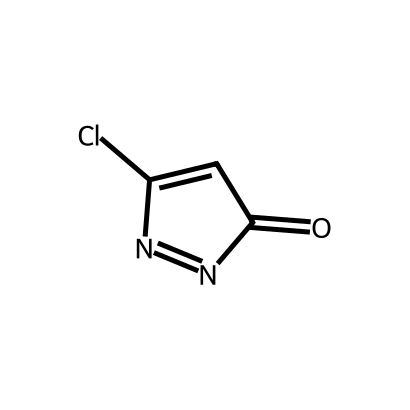 O=C1C=C(Cl)N=N1